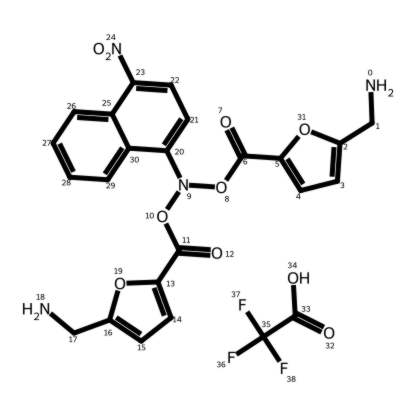 NCc1ccc(C(=O)ON(OC(=O)c2ccc(CN)o2)c2ccc([N+](=O)[O-])c3ccccc23)o1.O=C(O)C(F)(F)F